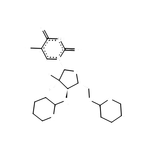 O=c1[nH]c(=O)n([C@@H]2O[C@H](COC3CCCCO3)[C@@H](OC3CCCCO3)[C@@]2(O)F)cc1I